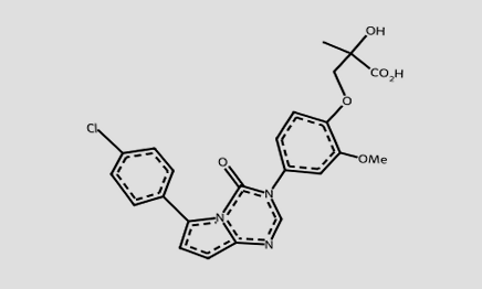 COc1cc(-n2cnc3ccc(-c4ccc(Cl)cc4)n3c2=O)ccc1OCC(C)(O)C(=O)O